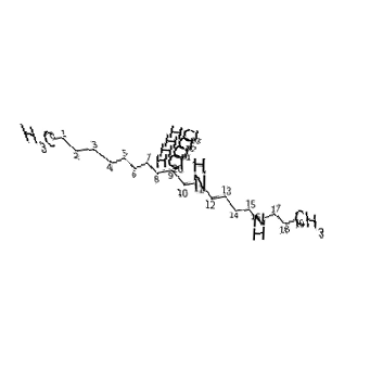 CCCCCCCCCCCNCCCCNCCC.Cl.Cl.Cl.Cl